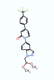 COC(Cn1ncc2cc(-n3ccc(-c4ccc(C(F)(F)F)cc4)cc3=O)ccc21)OC